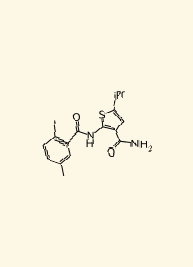 Cc1ccc(C)c(C(=O)Nc2sc(C(C)C)cc2C(N)=O)c1